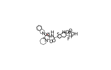 CC(C)(C)[C@H](NC(=O)c1cc2cc(C(F)(F)P(=O)(O)O)ccc2s1)C(=O)N1CCCCC[C@H]1C(=O)N1Cc2ccccc2C1